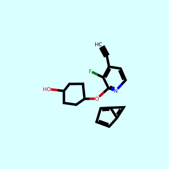 C#Cc1ccnc(OC2CCC(O)CC2)c1F.c1cc2cc-2c1